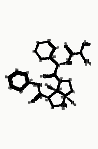 CN[C@@H](C)C(=O)N[C@H](C(=O)N1CC[C@H]2NC[C@@H](C(=O)Nc3ccccc3)[C@H]21)C1CCCCC1